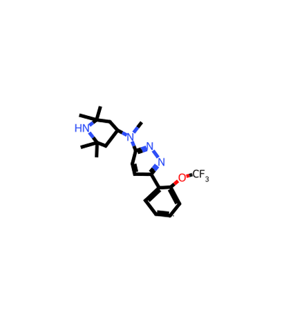 CN(c1ccc(-c2cc[c]cc2OC(F)(F)F)nn1)C1CC(C)(C)NC(C)(C)C1